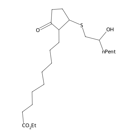 CCCCCC(O)CSC1CCC(=O)C1CCCCCCCCC(=O)OCC